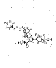 CN1CCN(CCOCc2cccc(Nc3sc(-c4ccc(C(C)(C)O)cc4F)cc3C(N)=O)n2)CC1